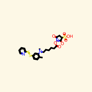 Cc1ccc(SSc2ccccn2)cc1N(C)CCCCCC(=O)ON1C(=O)CC(S(=O)(=O)O)C1=O